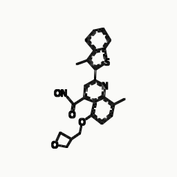 Cc1c(-c2cc(C(=O)N=O)c3c(OCC4COC4)ccc(C)c3n2)sc2ccccc12